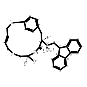 CC(C)[C@H]1COC/C=C/COc2ccc(cc2)C[C@@H](N(CC2c3ccccc3-c3ccccc32)C(=O)O)C(=O)N1